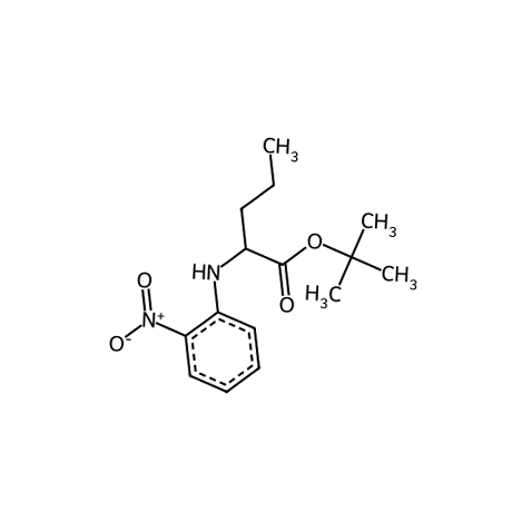 CCCC(Nc1ccccc1[N+](=O)[O-])C(=O)OC(C)(C)C